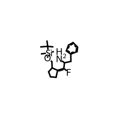 CC(C)(C)[Si](C)(C)OCC1CCC/C1=C(\F)C(N)Cc1ccccc1